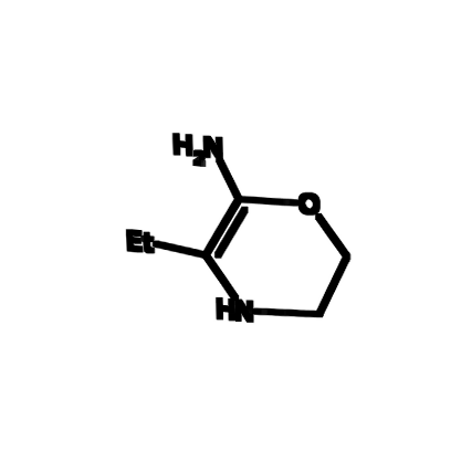 CCC1=C(N)OCCN1